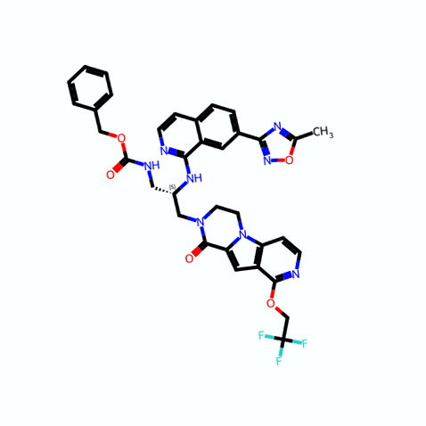 Cc1nc(-c2ccc3ccnc(N[C@@H](CNC(=O)OCc4ccccc4)CN4CCn5c(cc6c(OCC(F)(F)F)nccc65)C4=O)c3c2)no1